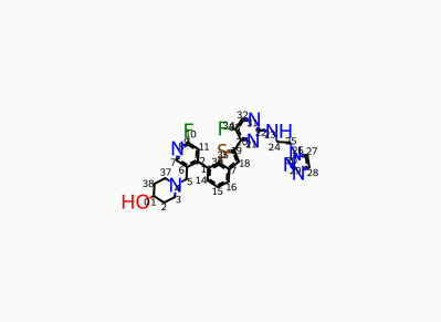 OC1CCN(Cc2cnc(F)cc2-c2cccc3cc(-c4nc(NCCn5ccnn5)ncc4F)sc23)CC1